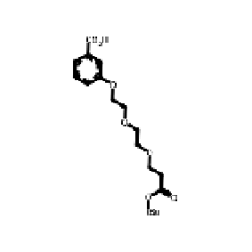 CC(C)(C)OC(=O)CCOCCOCCOc1cccc(C(=O)O)c1